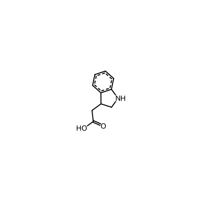 O=C(O)CC1CNc2ccccc21